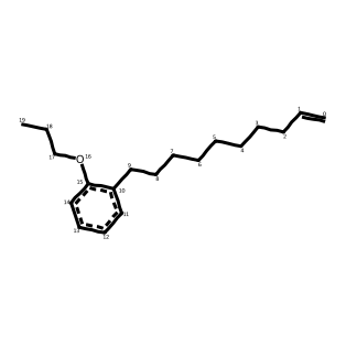 C=CCCCCCCCCc1ccccc1OCCC